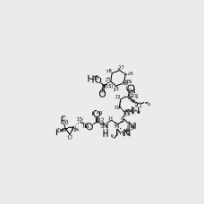 Cc1nc(-c2nnn(C)c2CNC(=O)OC[C@@H]2CC2(F)F)ccc1O[C@H]1CCC[C@H](C(=O)O)C1